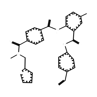 C=Cc1ccc(NC(=O)c2cc(Cl)ccc2NC(=O)c2ccc(C(=N)N(C)Cc3ccco3)cc2)cc1